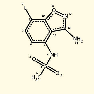 CS(=O)(=O)Nc1ccc(I)c2onc(N)c12